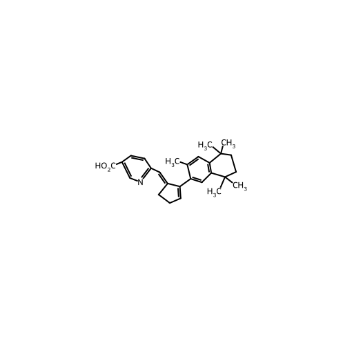 Cc1cc2c(cc1C1=CCCC1=Cc1ccc(C(=O)O)cn1)C(C)(C)CCC2(C)C